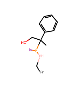 CC(C)CBP(I)C(C)(CO)c1ccccc1